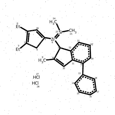 CCC1=C(CC)C[C]([Zr]([CH]2C(C)=Cc3c(-c4ccccc4)cccc32)=[Si](C)C)=C1.Cl.Cl